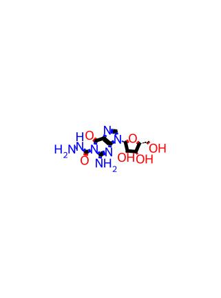 NNC(=O)n1c(N)nc2c(ncn2[C@@H]2O[C@H](CO)[C@@H](O)[C@H]2O)c1=O